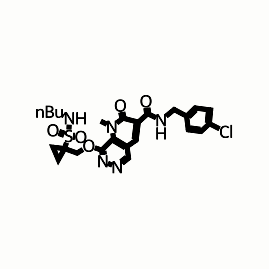 CCCCNS(=O)(=O)C1(COc2nncc3cc(C(=O)NCc4ccc(Cl)cc4)c(=O)n(C)c23)CC1